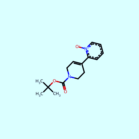 CC(C)(C)OC(=O)N1CC=C(c2cccc[n+]2[O-])CC1